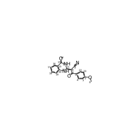 COc1ccc(C(=O)/C(C#N)=C2/NC(=O)c3ccccc3N2)cc1